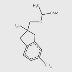 COC(C)OCC1(C)Cc2ccc(C)cc2C1